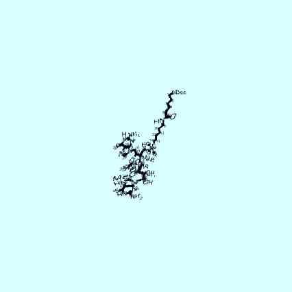 CCCCCCCCCCCCCCCC(=O)NCCCCCCOP(=O)(O)OCC(OC)C(Cn1cnc2c(=S)[nH]c(N)nc21)OP(=S)(OC)OCC(OC)C(O)C(O)N1CNc2c1nc(N)[nH]c2=S